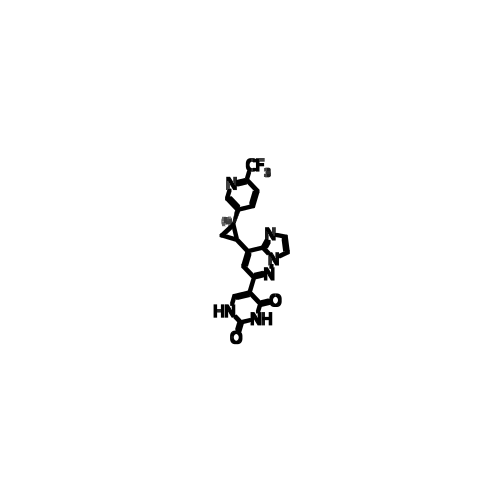 O=c1[nH]cc(-c2cc(C3C[C@H]3c3ccc(C(F)(F)F)nc3)c3nccn3n2)c(=O)[nH]1